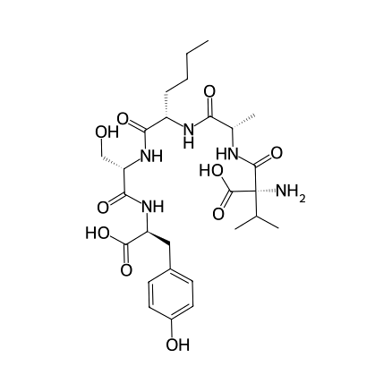 CCCC[C@H](NC(=O)[C@H](C)NC(=O)[C@](N)(C(=O)O)C(C)C)C(=O)N[C@@H](CO)C(=O)N[C@@H](Cc1ccc(O)cc1)C(=O)O